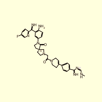 CN/C=N\C(=N)c1ccc(C2=CCN(C(=O)CN3CC[C@]4(CCN(c5ccc(N)c(C(=N)c6ccc(F)cn6)c5)C4=O)C3)CC2)cc1